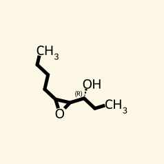 CCCCC1OC1[C@H](O)CC